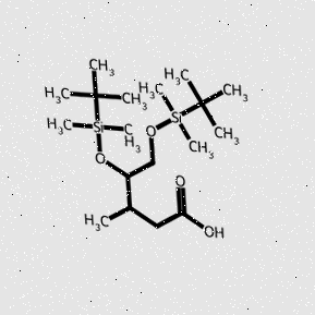 CC(CC(=O)O)C(CO[Si](C)(C)C(C)(C)C)O[Si](C)(C)C(C)(C)C